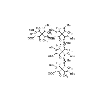 CCCCOC(C)C(C(=O)CC(=O)[O-])(C(C)OCCCC)C(C)OCCCC.CCCCOC(C)C(C(=O)CC(=O)[O-])(C(C)OCCCC)C(C)OCCCC.CCCCOC(C)C(C(=O)CC(=O)[O-])(C(C)OCCCC)C(C)OCCCC.CCCCOC(C)C(C(=O)CC(=O)[O-])(C(C)OCCCC)C(C)OCCCC.[Zr+4]